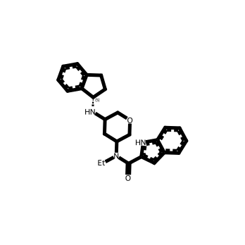 CCN(C(=O)c1cc2ccccc2[nH]1)C1COCC(N[C@H]2CCc3ccccc32)C1